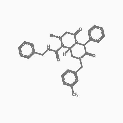 CCN1CC(=O)N2[C@@H](c3ccccc3)C(=O)N(Cc3cccc(C(F)(F)F)c3)C[C@@H]2N1C(=O)NCc1ccccc1